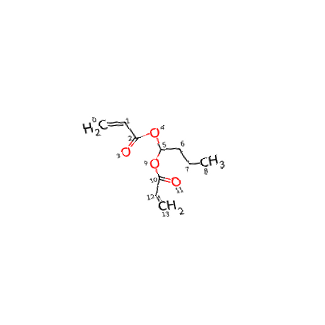 C=CC(=O)OC(CCC)OC(=O)C=C